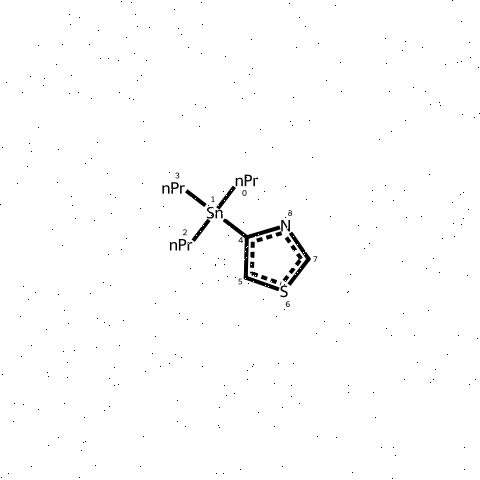 CC[CH2][Sn]([CH2]CC)([CH2]CC)[c]1cscn1